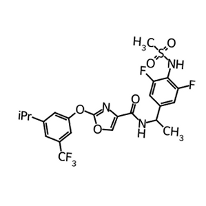 CC(C)c1cc(Oc2nc(C(=O)NC(C)c3cc(F)c(NS(C)(=O)=O)c(F)c3)co2)cc(C(F)(F)F)c1